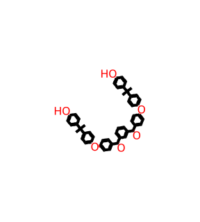 CC(C)(c1ccc(O)cc1)c1ccc(Oc2ccc(C(=O)c3cccc(C(=O)c4ccc(Oc5ccc(C(C)(C)c6ccc(O)cc6)cc5)cc4)c3)cc2)cc1